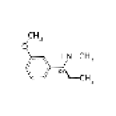 CC[C@H](NC)c1cccc(OC)c1